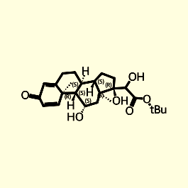 CC(C)(C)OC(=O)C(O)[C@@]1(O)CC[C@H]2[C@@H]3CCC4=CC(=O)C=C[C@]4(C)[C@H]3[C@@H](O)C[C@@]21C